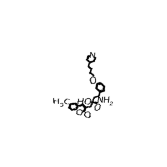 Cc1ccc2oc(=O)c(CC(O)(CCc3cccc(OCCCCc4ccncc4)c3)C(N)=O)cc2c1